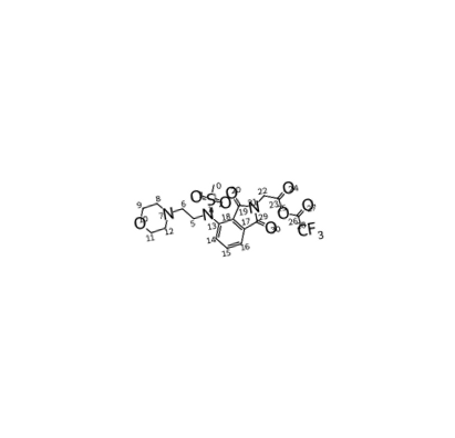 CS(=O)(=O)N(CCN1CCOCC1)c1cccc2c1C(=O)N(CC(=O)OC(=O)C(F)(F)F)C2=O